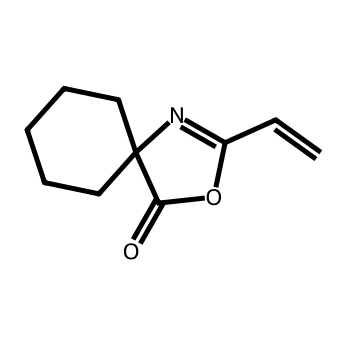 C=CC1=NC2(CCCCC2)C(=O)O1